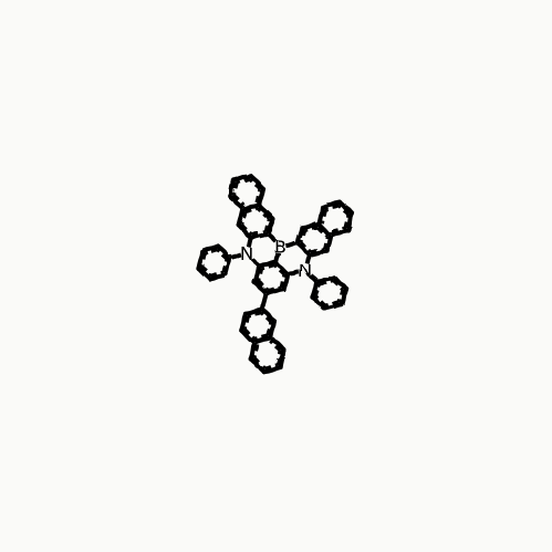 c1ccc(N2c3cc4ccccc4cc3B3c4cc5ccccc5cc4N(c4ccccc4)c4cc(-c5ccc6ccccc6c5)cc2c43)cc1